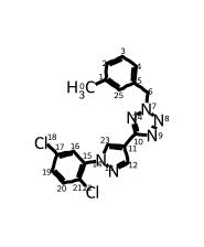 Cc1cccc(Cn2nnc(-c3cnn(-c4cc(Cl)ccc4Cl)c3)n2)c1